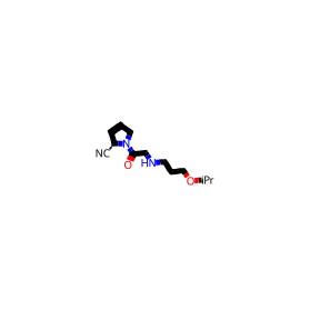 CC(C)OCCCNCC(=O)N1CC=C[C@H]1C#N